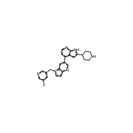 Fc1cncc(Cn2ccc3ncc(-c4ccnc5[nH]c(C6CCNCC6)cc45)cc32)c1